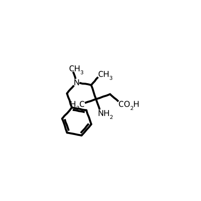 CC(N(C)Cc1ccccc1)C(C)(N)CC(=O)O